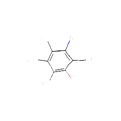 Cc1c(C)c(N)c(C)c(O)c1C